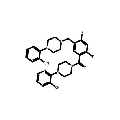 N#Cc1ccccc1N1CCN(Cc2cc(C(=O)N3CCN(c4ncccc4C#N)CC3)c(F)cc2F)CC1